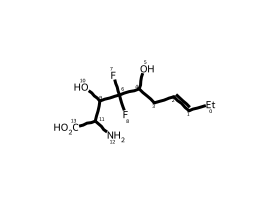 CC/C=C/CC(O)C(F)(F)C(O)C(N)C(=O)O